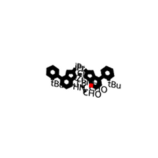 CC(C)C1=Cc2c(-c3ccccc3C(C)(C)C)cccc2[CH]1[Zr]([Cl])([Cl])([B](NC=O)NC=O)[CH]1C(C(C)C)=Cc2c(-c3ccccc3C(C)(C)C)cccc21